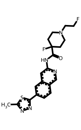 Cc1nnc(-c2ccc3cnc(NC(=O)C4(F)CCN(CCF)CC4)cc3c2)s1